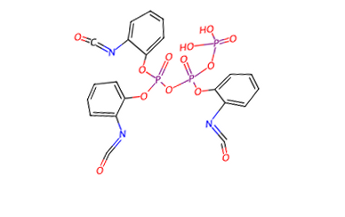 O=C=Nc1ccccc1OP(=O)(Oc1ccccc1N=C=O)OP(=O)(Oc1ccccc1N=C=O)OP(=O)(O)O